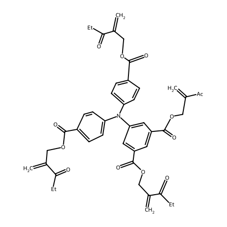 C=C(COC(=O)c1cc(C(=O)OCC(=C)C(=O)CC)cc(N(c2ccc(C(=O)OCC(=C)C(=O)CC)cc2)c2ccc(C(=O)OCC(=C)C(=O)CC)cc2)c1)C(C)=O